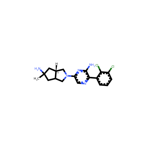 CC1(N)CC2CN(c3cnc(-c4cccc(Cl)c4Cl)c(N)n3)C[C@H]2C1